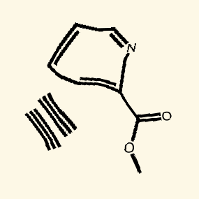 C#C.C#C.COC(=O)c1ccccn1